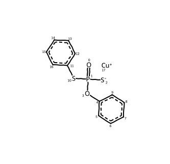 O=P([S-])(Oc1ccccc1)Sc1ccccc1.[Cu+]